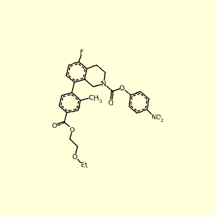 CCOCCOC(=O)c1ccc(-c2ccc(F)c3c2CN(C(=O)Oc2ccc([N+](=O)[O-])cc2)CC3)c(C)c1